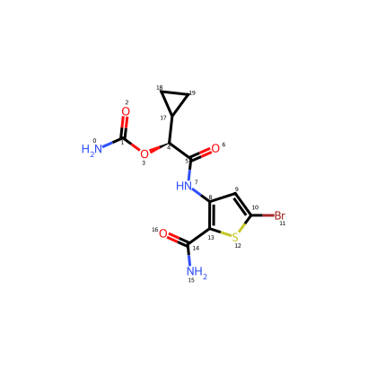 NC(=O)O[C@H](C(=O)Nc1cc(Br)sc1C(N)=O)C1CC1